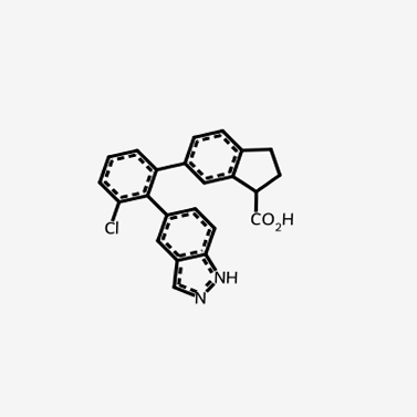 O=C(O)C1CCc2ccc(-c3cccc(Cl)c3-c3ccc4[nH]ncc4c3)cc21